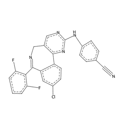 N#Cc1ccc(Nc2ncc3c(n2)-c2ccc(Cl)cc2C(c2c(F)cccc2F)=NC3)cc1